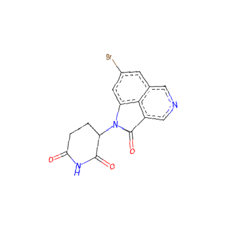 O=C1CCC(N2C(=O)c3cncc4cc(Br)cc2c34)C(=O)N1